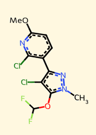 COc1ccc(-c2nn(C)c(OC(F)F)c2Cl)c(Cl)n1